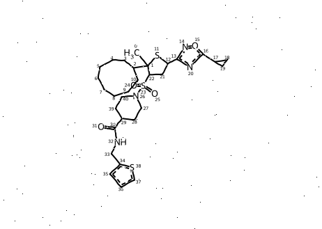 CC1(C2CCCCCCCC2)SC(c2noc(C3CC3)n2)CC1S(=O)(=O)N1CCC(C(=O)NCc2cccs2)CC1